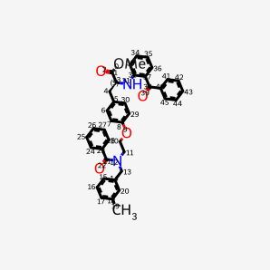 COC(=O)[C@H](Cc1ccc(OCCN(Cc2cccc(C)c2)C(=O)c2ccccc2)cc1)Nc1ccccc1C(=O)c1ccccc1